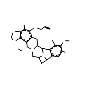 C=CCOc1c(C)c2c(c3c1CC1C4c5c(cc(C)c(OC)c5O)C5C[C@@H]([C@H](C)N1[C@H]3CO)N54)OCO2